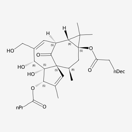 CCCCCCCCCCCC(=O)O[C@@]12C[C@@H](C)[C@]34C=C(C)[C@H](OC(=O)CCC)[C@@]3(O)[C@H](O)C(CO)=C[C@H](C4=O)[C@@H]1C2(C)C